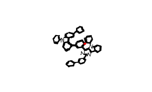 c1ccc(-c2cccc(-c3nc(-c4cccc(-c5cccc6c5c5cc(-c7ccccc7)ccc5n6-c5ccccc5)c4)c4c(n3)c3ccccc3n4-c3ccccc3)c2)cc1